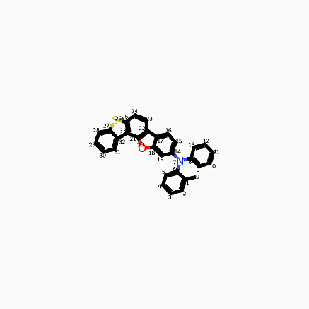 Cc1ccccc1N(c1ccccc1)c1ccc2c(c1)oc1c2ccc2sc3ccccc3c21